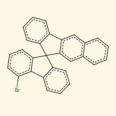 Brc1cccc2c1-c1ccccc1C21c2ccccc2-c2cc3ccccc3cc21